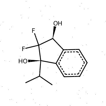 CC(C)[C@@]1(O)c2ccccc2[C@H](O)C1(F)F